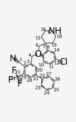 N#Cc1c(COCC2(c3cccc(Cl)c3)CCNCC2)cc(-c2ccccc2)cc1C(F)(F)F